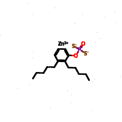 CCCCCc1cccc(OP(=O)([S-])[S-])c1CCCCC.[Zn+2]